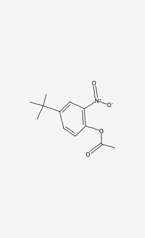 CC(=O)Oc1ccc(C(C)(C)C)cc1[N+](=O)[O-]